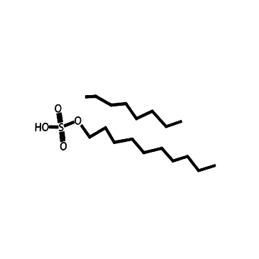 CCCCCCCC.CCCCCCCCCCOS(=O)(=O)O